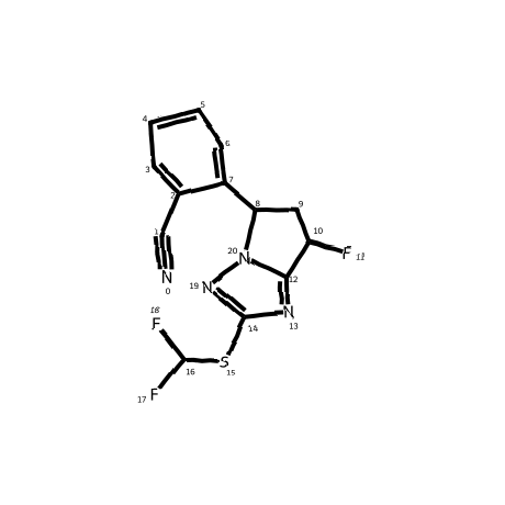 N#Cc1ccccc1C1CC(F)c2nc(SC(F)F)nn21